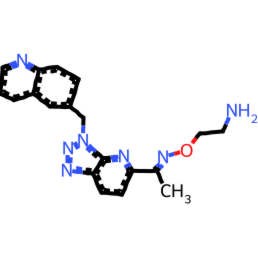 CC(=NOCCN)c1ccc2nnn(Cc3ccc4ncccc4c3)c2n1